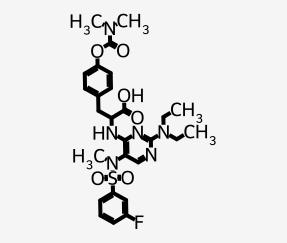 CCN(CC)c1ncc(N(C)S(=O)(=O)c2cccc(F)c2)c(NC(Cc2ccc(OC(=O)N(C)C)cc2)C(=O)O)n1